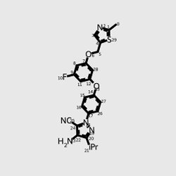 Cc1ncc(COc2cc(F)cc(Oc3ccc(-n4nc(C(C)C)c(N)c4C#N)cc3)c2)s1